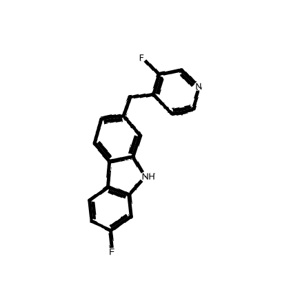 Fc1ccc2c(c1)[nH]c1cc(Cc3ccncc3F)ccc12